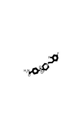 NC(=O)c1ccc(S(=O)(=O)C2(F)CCN(CCc3ccc(F)cc3F)CC2)cc1